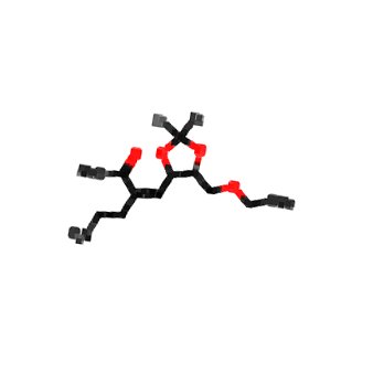 CCC1(CC)OC(C=C(CC[N+](=O)[O-])C(=O)OC)C(COCOC)O1